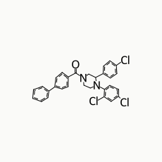 O=C(c1ccc(-c2ccccc2)cc1)N1CCN(c2ccc(Cl)cc2Cl)C(c2ccc(Cl)cc2)C1